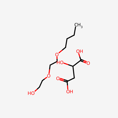 CCCCOCCOCCO.O=C(O)CC(O)C(=O)O